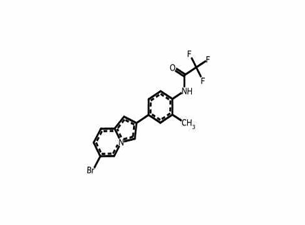 Cc1cc(-c2cc3ccc(Br)cn3c2)ccc1NC(=O)C(F)(F)F